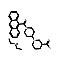 CCNCC.O=C(O)C1CCCN(C2CCN(C(=O)c3c4ccccc4cc4ccccc34)CC2)C1